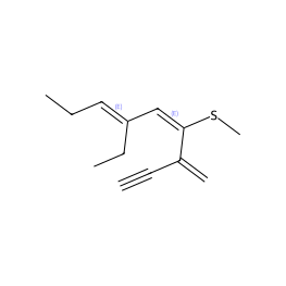 C#CC(=C)/C(=C\C(=C\CC)CC)SC